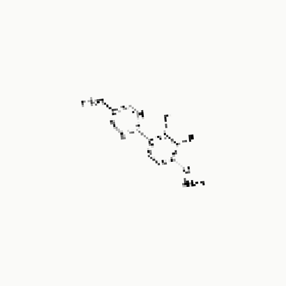 CCCCCCCCCOc1ccc(-c2ncc(CCCCCCCCC)cn2)c(F)c1F